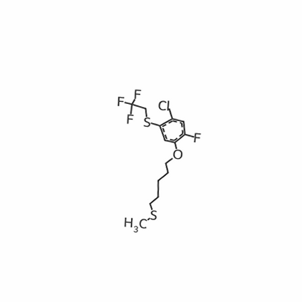 CSCCCCCOc1cc(SCC(F)(F)F)c(Cl)cc1F